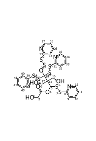 O=C(CO)OC(SSc1ccccn1)C(CO)(CO)C(OSSc1ccccn1)(SSc1ccccn1)SSc1ccccn1